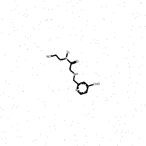 CCN(CCC#N)C(=O)CNCc1cc(C=O)ccn1